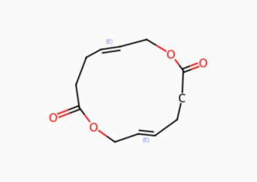 O=C1CC/C=C/COC(=O)CC/C=C/CO1